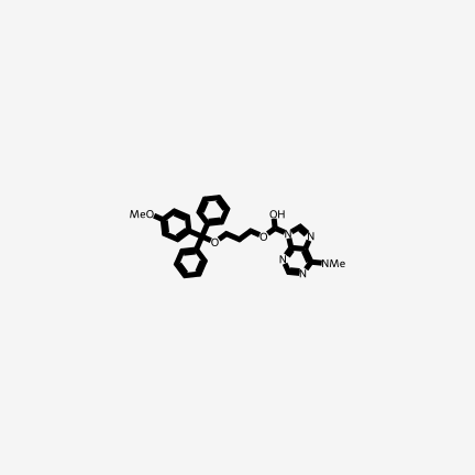 CNc1ncnc2c1ncn2C(O)OCCCOC(c1ccccc1)(c1ccccc1)c1ccc(OC)cc1